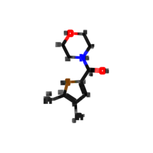 CC(C)c1cc(C(=O)N2CCOCC2)sc1C(C)C